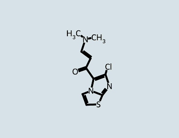 CN(C)C=CC(=O)c1c(Cl)nc2sccn12